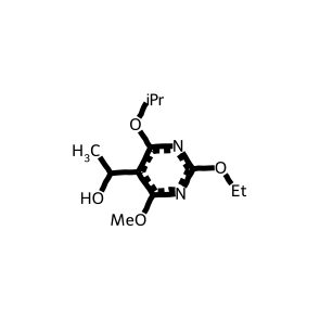 CCOc1nc(OC)c(C(C)O)c(OC(C)C)n1